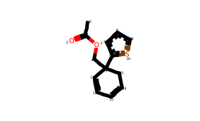 CC(=O)OCC1(c2cccs2)C=CC=CC1